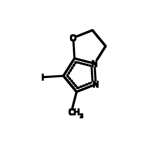 Cc1nn2c(c1I)OCC2